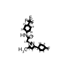 Cc1cc(-c2ccc(F)cc2)nn1CC(=O)Nc1ccc(C(F)(F)F)cc1